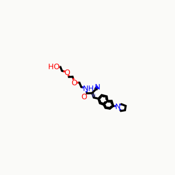 N#C/C(=C\c1ccc2cc(N3CCCC3)ccc2c1)C(=O)NCCOCCOCCO